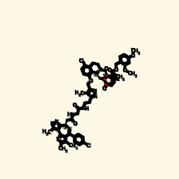 COc1ccc(COC(=O)[C@@]2(C)CCCC[C@H]2C(=O)N2CCc3c(Cl)ccc(OCc4nnn(CCNC(=O)CNC(=O)C[C@@H]5N=C(c6ccc(Cl)cc6)c6c(sc(C)c6C)-n6c(C)nnc65)c4C)c3[C@H]2CN2CC3(CC3)CC2=O)c(OC)c1